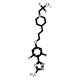 Cc1nnc(-c2c(F)cc(OCCCC3CCN(CC(F)(F)C(F)(F)F)CC3)cc2F)o1